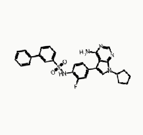 Nc1ncnc2c1c(-c1ccc(NS(=O)(=O)c3cccc(-c4ccccc4)c3)c(F)c1)cn2C1CCCC1